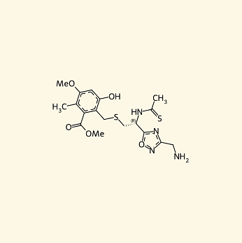 COC(=O)c1c(C)c(OC)cc(O)c1CSC[C@H](NC(C)=S)c1nc(CN)no1